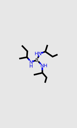 CCC(C)NB(NC(C)CC)NC(C)CC